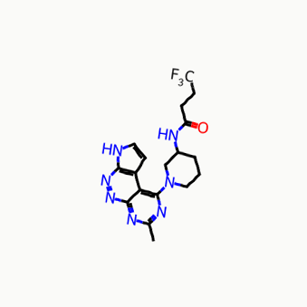 Cc1nc(N2CCCC(NC(=O)CCC(F)(F)F)C2)c2c(nnc3[nH]ccc32)n1